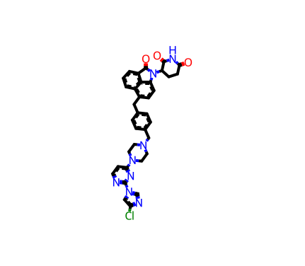 O=C1CCC(N2C(=O)c3cccc4c(Cc5ccc(CN6CCN(c7ccnc(-n8cnc(Cl)c8)n7)CC6)cc5)ccc2c34)C(=O)N1